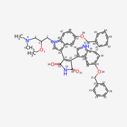 COC(CN(C)C)Cn1cc(C2=C(c3c[nH]c4ccc(OCc5ccccc5)cc34)C(=O)NC2=O)c2cc(OCc3ccccc3)ccc21